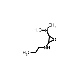 CCCNC1OC1N(C)C